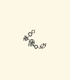 CN1CCN(Cc2ccc(Nc3nccc(-c4cnn(C)c4-c4ccc(Cl)cc4)n3)cc2)CC1